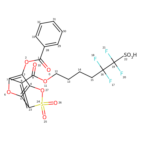 O=C(Oc1c2c3oc1c(C(=O)OCCCCC(F)(F)C(F)(F)S(=O)(=O)O)c3S(=O)(=O)O2)c1ccccc1